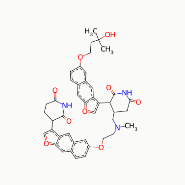 CN(CCOc1ccc2cc3occ(C4CCC(=O)NC4=O)c3cc2c1)CC1CC(=O)NC(=O)C1c1coc2cc3ccc(OCCC(C)(C)O)cc3cc12